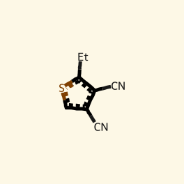 CCc1scc(C#N)c1C#N